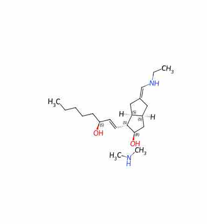 CCCCC[C@H](O)C=C[C@@H]1[C@H]2CC(=CNCC)C[C@H]2C[C@H]1O.CNC